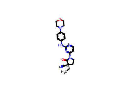 CC[C@]1(C#N)CCN(c2ccnc(Nc3ccc(N4CCOCC4)cc3)n2)C1=O